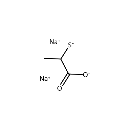 CC([S-])C(=O)[O-].[Na+].[Na+]